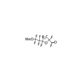 COC(F)(F)C(F)(F)C(F)(F)OC(F)(C(=O)F)C(F)(F)F